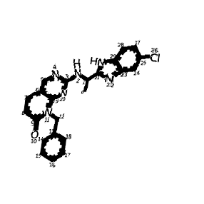 CC(Nc1ncc2ccc(=O)n(Cc3ccccc3)c2n1)c1nc2cc(Cl)ccc2[nH]1